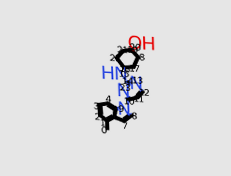 Cc1cccc2c1ccn2-c1ccnc(N[C@H]2CC[C@H](O)CC2)n1